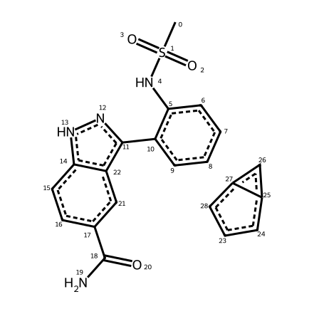 CS(=O)(=O)Nc1ccccc1-c1n[nH]c2ccc(C(N)=O)cc12.c1cc2cc-2c1